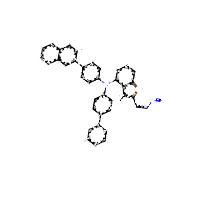 C=N/C=C\c1sc2cccc(N(c3ccc(-c4ccccc4)cc3)c3ccc(-c4ccc5ccccc5c4)cc3)c2c1C